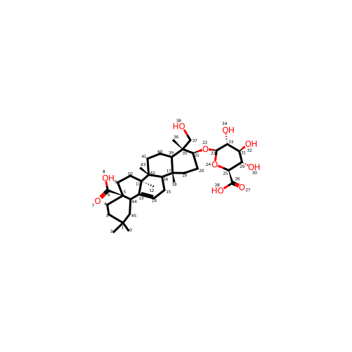 CC1(C)CC[C@]2(C(=O)O)CC[C@]3(C)C(=CCC4[C@@]5(C)CC[C@H](O[C@@H]6O[C@H](C(=O)O)[C@@H](O)[C@H](O)[C@H]6O)[C@@](C)(CO)C5CC[C@]43C)C2C1